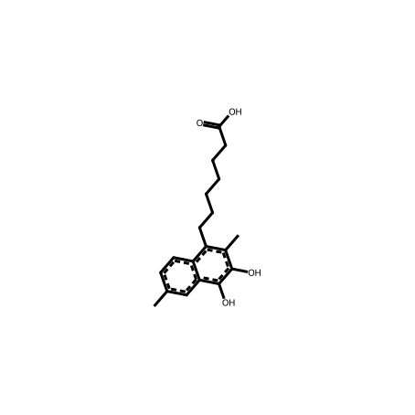 Cc1ccc2c(CCCCCCC(=O)O)c(C)c(O)c(O)c2c1